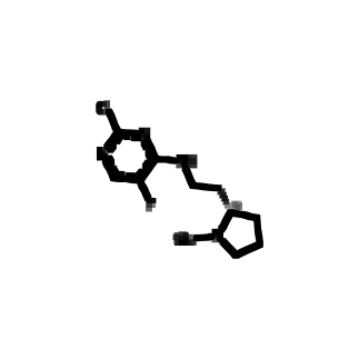 CC(C)(C)N1CCC[C@H]1CCNc1nc(Cl)ncc1F